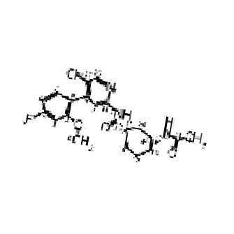 COc1cc(F)ccc1-c1cc(NC(=O)[C@H]2CCC[C@@H](NC(C)=O)C2)ncc1Cl